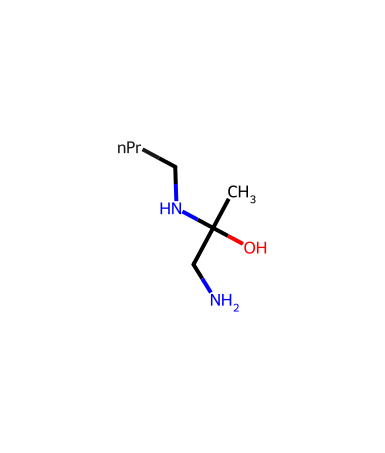 CCCCNC(C)(O)CN